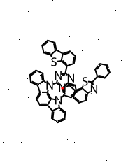 c1ccc(-c2nc3cccc(-c4nc(-c5cccc6c5sc5ccccc56)nc(-n5c6ccccc6c6ccc7c8ccccc8n(-c8ccccc8)c7c65)n4)c3s2)cc1